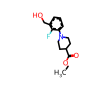 CCOC(=O)C1CCN(c2cccc(CO)c2F)CC1